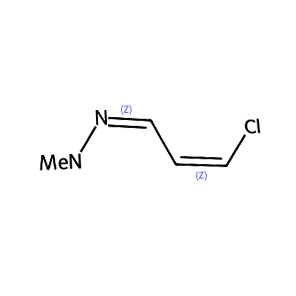 CN/N=C\C=C/Cl